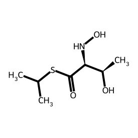 CC(C)SC(=O)[C@@H](NO)[C@@H](C)O